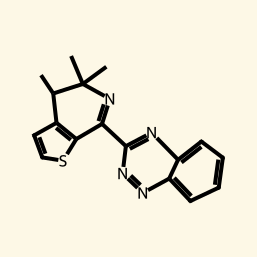 CC1c2ccsc2C(c2nnc3ccccc3n2)=NC1(C)C